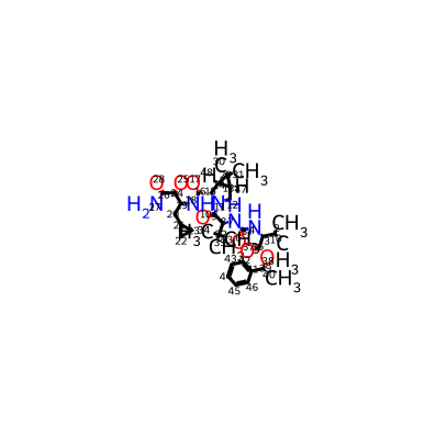 CC(C)[C@H](NC(=O)N[C@H](C(=O)N1C[C@H]2[C@@H]([C@H]1C(=O)NC(CC1CC1)C(=O)C(N)=O)C2(C)C)C(C)(C)C)C(=O)O[C@H](C)c1ccccc1